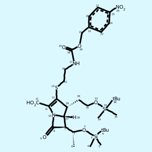 C[C@@H](O[Si](C)(C)C(C)(C)C)[C@H]1C(=O)N2C(C(=O)O)=C(SCCNC(=O)OCc3ccc([N+](=O)[O-])cc3)[C@H](CCO[Si](C)(C)C(C)(C)C)[C@H]12